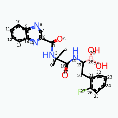 CC(C)(NC(=O)c1cnc2ccccc2n1)C(=O)NC(Cc1ccccc1F)B(O)O